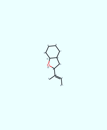 [CH2]C=C(C)C1CC2CCCCC2O1